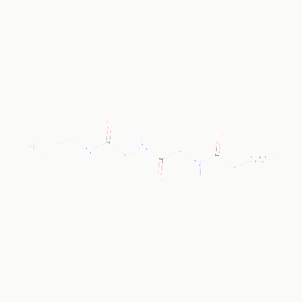 CNCC(=O)NCC(=O)NCC(=O)NCC(=O)O